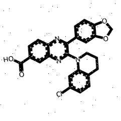 O=C(O)c1ccc2nc(-c3ccc4c(c3)OCO4)c(N3CCCc4ccc(Cl)cc43)nc2c1